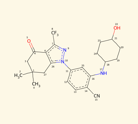 CC1(C)CC(=O)c2c(C(F)(F)F)nn(-c3ccc(C#N)c(NC4CCC(O)CC4)c3)c2C1